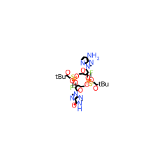 CC(C)(C)C(=O)CSP1(=O)OCC2OC(n3cnc4c(=O)[nH]cnc43)[C@H](F)[C@@H]2OP(=O)(SCC(=O)C(C)(C)C)OCC2OC(n3cnc4c(N)ccnc43)[C@H](F)[C@@H]2O1